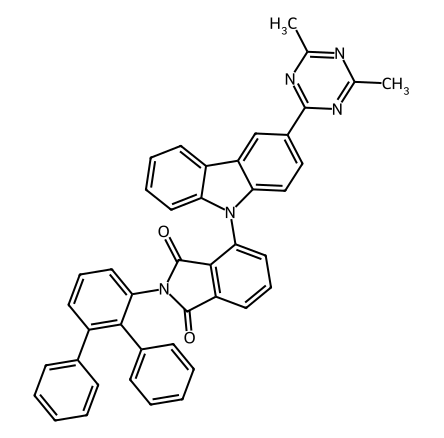 Cc1nc(C)nc(-c2ccc3c(c2)c2ccccc2n3-c2cccc3c2C(=O)N(c2cccc(-c4ccccc4)c2-c2ccccc2)C3=O)n1